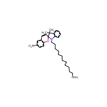 CCCCCCCCCCCCCCCCCCCCCCN1c2ccccc2C(C)(C)C12C=Cc1cc([N+](=O)[O-])ccc1O2